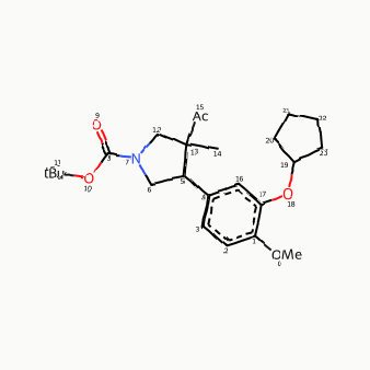 COc1ccc(C2CN(C(=O)OC(C)(C)C)CC2(C)C(C)=O)cc1OC1CCCC1